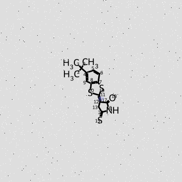 CC(C)(C)c1ccc2c(c1)S/C(=C1\CC(=S)NC1=O)S2